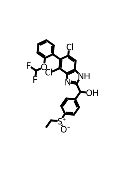 CC[S+]([O-])c1ccc(C(O)c2nc3c(Cl)c(-c4ccccc4OC(F)F)c(Cl)cc3[nH]2)cc1